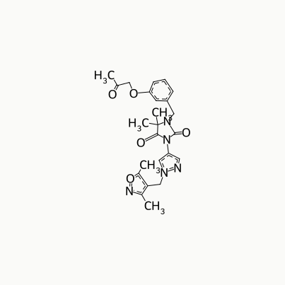 CC(=O)COc1cccc(CN2C(=O)N(c3cnn(Cc4c(C)noc4C)c3)C(=O)C2(C)C)c1